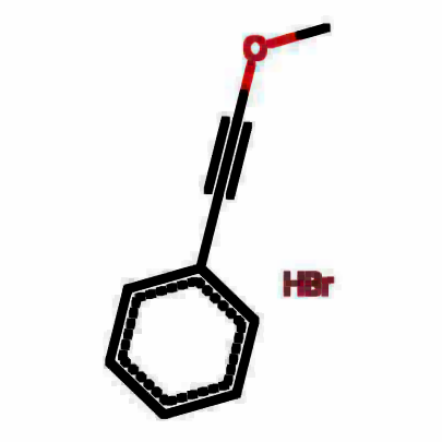 Br.COC#Cc1ccccc1